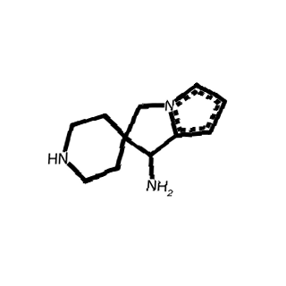 NC1c2cccn2CC12CCNCC2